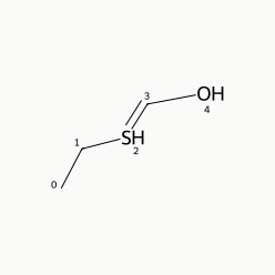 CC[SH]=CO